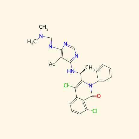 CC(=O)c1c(/N=C/N(C)C)ncnc1N[C@@H](C)c1c(Cl)c2cccc(Cl)c2c(=O)n1-c1ccccc1